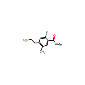 COC(=O)c1cc(C)c(CCS)cc1F